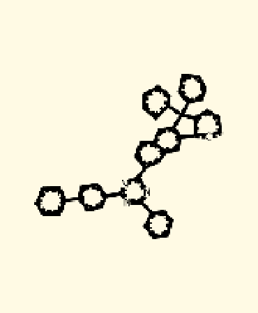 c1ccc(-c2ccc(-c3nc(-c4ccccc4)nc(-c4ccc5cc6c(cc5c4)-c4ccccc4C6(c4ccccc4)c4ccccc4)n3)cc2)cc1